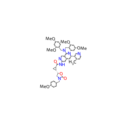 COc1ccc(CN2CC([C@@H]3C[C@H]3C(=O)Nc3cc4cc(-c5cnccc5C)nc(N(Cc5ccc(OC)cc5OC)Cc5ccc(OC)cc5OC)c4cn3)OC2=O)cc1